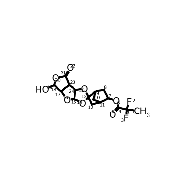 CC(F)(F)C(=O)OC1CC2CC1CC21OC2OC3C(O)OC(=O)C3C2O1